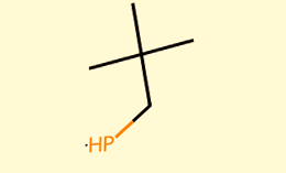 CC(C)(C)C[PH]